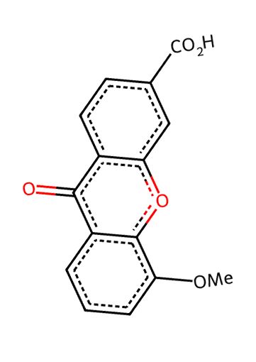 COc1cccc2c(=O)c3ccc(C(=O)O)cc3oc12